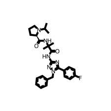 CC(C)N1CCC[C@@H]1C(=O)NC(C)(C)C(=O)Nc1nc(-c2ccc(F)cc2)n(Cc2ccccc2)n1